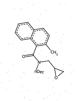 CCCCCCCCCCN(CC1CO1)C(=O)c1c(C)ccc2ccccc12